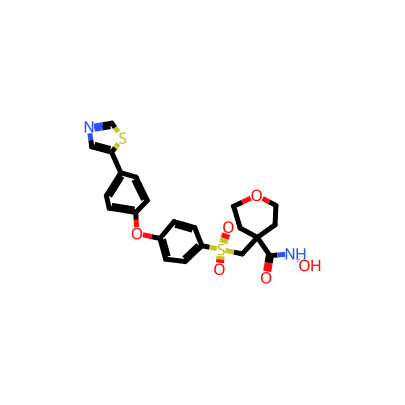 O=C(NO)C1(CS(=O)(=O)c2ccc(Oc3ccc(-c4cncs4)cc3)cc2)CCOCC1